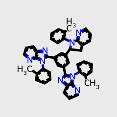 Cc1ccccc1N1c2ncccc2CC1c1cc(-c2nc3cccnc3n2-c2ccccc2C)cc(-c2nc3cccnc3n2-c2ccccc2C)c1